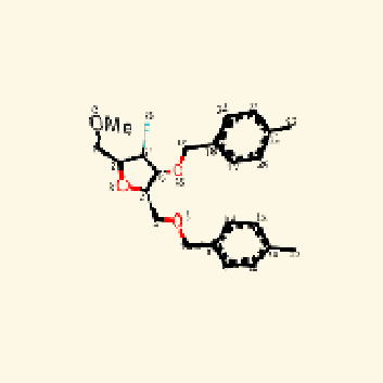 COCC1O[C@H](COCc2ccc(C)cc2)[C@@H](OCc2ccc(C)cc2)[C@@H]1F